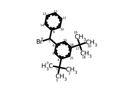 CC(C)(C)c1cc(C(Br)c2ccccc2)cc(C(C)(C)C)c1